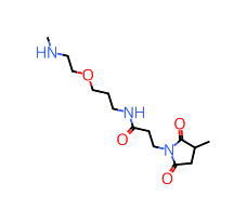 CNCCOCCCNC(=O)CCN1C(=O)CC(C)C1=O